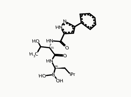 CC(C)C[C@H](NC(=O)[C@@H](NC(=O)c1cc(-c2ccccc2)n[nH]1)C(C)O)B(O)O